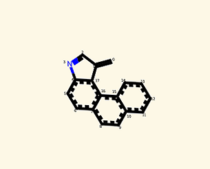 C=C1C=Nc2ccc3ccc4ccccc4c3c21